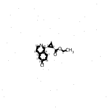 CCOC(=O)[C@H]1C[C@H]1c1nccc2cc(Cl)ccc12